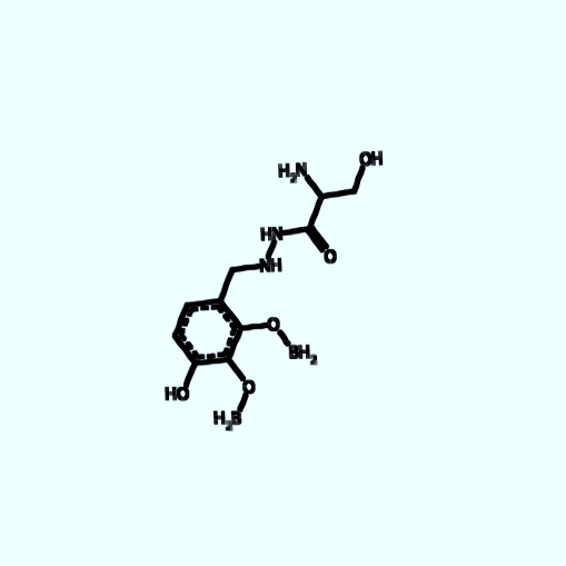 BOc1c(O)ccc(CNNC(=O)C(N)CO)c1OB